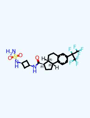 NS(=O)(=O)N[C@H]1C[C@@H](NC(=O)[C@@H]2CC[C@H]3c4ccc(C(F)(C(F)(F)F)C(F)(F)F)cc4CC[C@@H]23)C1